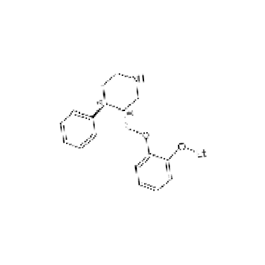 CCOc1ccccc1OC[C@H]1CNCC[C@@H]1c1ccccc1